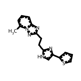 Cc1cccc2nc(CCc3nc(-c4cccs4)c[nH]3)nn12